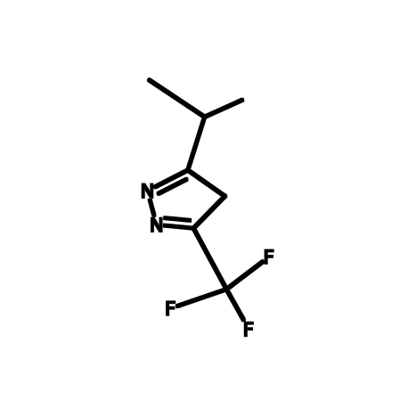 CC(C)C1=NN=C(C(F)(F)F)C1